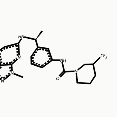 C[C@H](Nc1cnc2cnn(C)c2n1)c1cccc(NC(=O)N2CCCC(C(F)(F)F)C2)c1